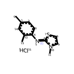 Cc1ccc(/N=c2\sccn2C)c(C)c1.Cl